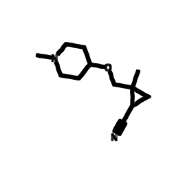 CN1CCC(OCC2(C)CC2C#N)CC1